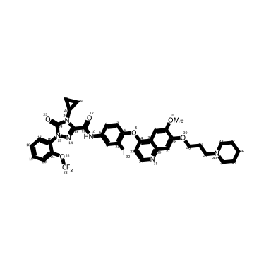 COc1cc2c(Oc3ccc(NC(=O)c4nn(-c5ccccc5OC(F)(F)F)c(=O)n4C4CC4)cc3F)ccnc2cc1OCCCN1CCCCC1